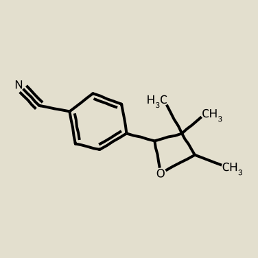 CC1OC(c2ccc(C#N)cc2)C1(C)C